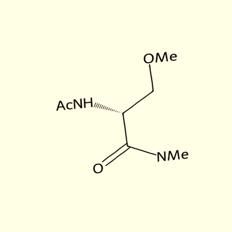 CNC(=O)[C@@H](COC)NC(C)=O